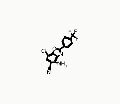 N#Cc1cc(Cl)c2oc(-c3ccc(C(F)(F)F)cc3)nc2c1N